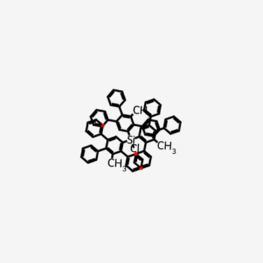 Cc1c(-c2ccccc2)c(-c2ccccc2)cc([Si](Cl)(c2cc(-c3ccccc3)c(-c3ccccc3)c(C)c2-c2ccccc2)c2cc(-c3ccccc3)c(-c3ccccc3)c(C)c2-c2ccccc2)c1-c1ccccc1